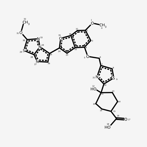 COc1cc(OCc2csc(C3(O)CCC(C(=O)O)CC3)n2)c2cc(-c3cnc4sc(OC)nn34)oc2c1